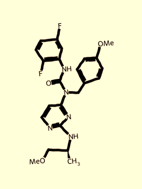 COC[C@H](C)Nc1nccc(N(Cc2ccc(OC)cc2)C(=O)Nc2cc(F)ccc2F)n1